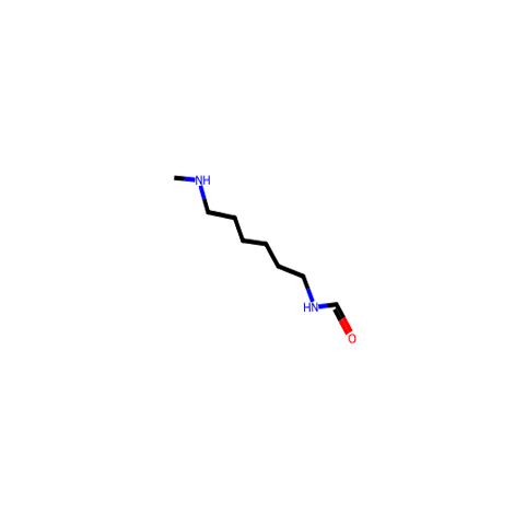 CNCCCCCCNC=O